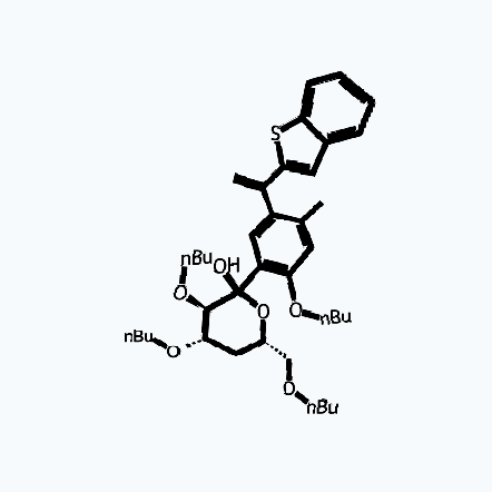 C=C(c1cc2ccccc2s1)c1cc(C2(O)O[C@H](COCCCC)C[C@H](OCCCC)[C@H]2OCCCC)c(OCCCC)cc1C